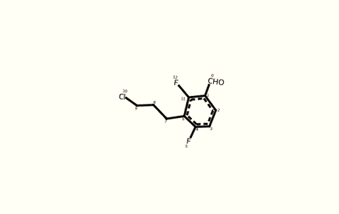 O=Cc1ccc(F)c(CCCCl)c1F